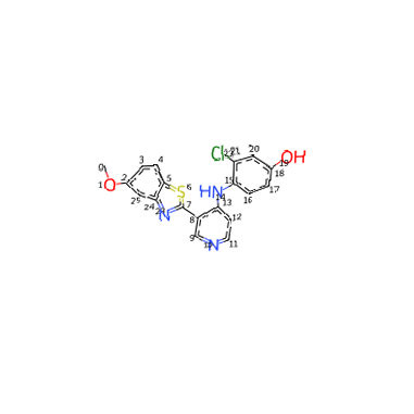 COc1ccc2sc(-c3cnccc3Nc3ccc(O)cc3Cl)nc2c1